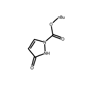 CCCCOC(=O)n1ccc(=O)[nH]1